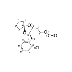 O=COCC[C@H]1OC2(CCCC2)O[C@@H]1Cc1ccccc1Cl